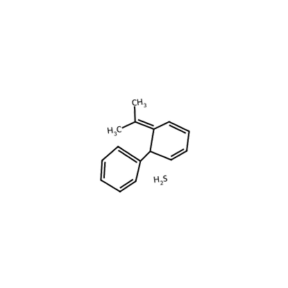 CC(C)=C1C=CC=CC1c1ccccc1.S